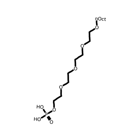 CCCCCCCCOCCOCCOCCOCCOP(=O)(O)O